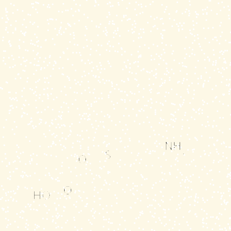 NC(CSOOO)C1CCCCC1